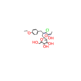 C/C=C\C(Cl)=C(\Cc1ccc(OCC)cc1)CC1(OC)O[C@H](CO)[C@@H](O)[C@H](O)[C@H]1O